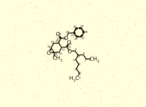 CCCCCC(CCC)COC(=O)C1CC2(C)OC2CC1C(=O)OCc1ccccc1